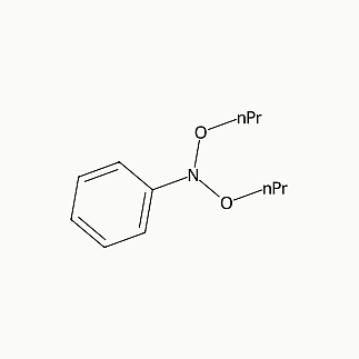 CCCON(OCCC)c1ccccc1